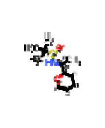 C[C@H](N[S@@+]([O-])C(C)(C)C)C1CCC=CO1